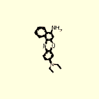 CC[N+](CC)=c1ccc2nc3c(cc(N)c4ccccc43)oc-2c1